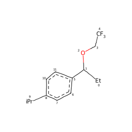 CCC(OCC(F)(F)F)c1ccc(C(C)C)cc1